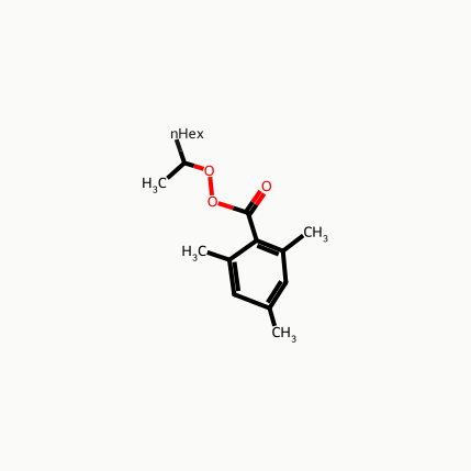 CCCCCC[C](C)OOC(=O)c1c(C)cc(C)cc1C